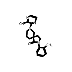 [C-]#[N+]c1nccnc1N1CCCC2(CCN(c3ccccc3C)C2=O)C1